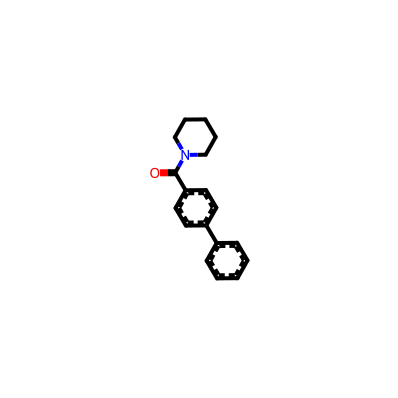 O=C(c1ccc(-c2ccccc2)cc1)N1CCCCC1